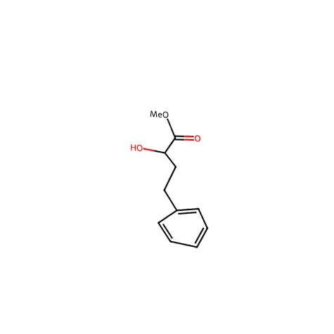 COC(=O)C(O)CCc1ccccc1